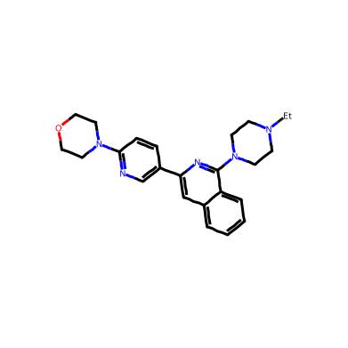 CCN1CCN(c2nc(-c3ccc(N4CCOCC4)nc3)cc3ccccc23)CC1